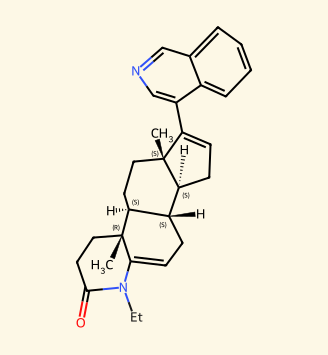 CCN1C(=O)CC[C@@]2(C)C1=CC[C@@H]1[C@@H]2CC[C@]2(C)C(c3cncc4ccccc34)=CC[C@@H]12